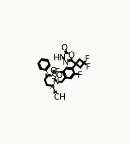 C#C[C@H]1CC[C@H](c2ccccc2)S(=O)(=O)N1Cc1cc(F)c(C2(c3n[nH]c(=O)o3)CC(F)(F)C2)cc1F